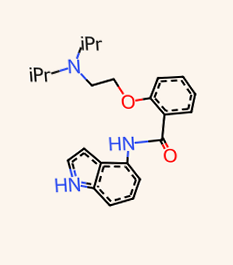 CC(C)N(CCOc1ccccc1C(=O)Nc1cccc2[nH]ccc12)C(C)C